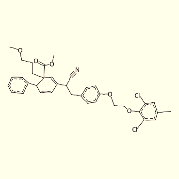 COCCCC1(C(=O)OC)C=C(C(C#N)Cc2ccc(OCCOc3c(Cl)cc(C)cc3Cl)cc2)C=CC1c1ccccc1